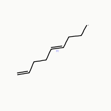 [CH2]CC/C=C/CCC=C